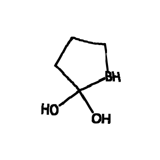 OC1(O)BCCC1